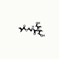 C=C(C)C(=O)OCCNC(=O)N(C(C)CO)C(C)CO